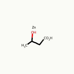 CC(O)CC(=O)O.[Zn]